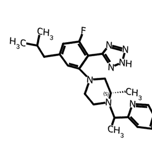 CC(C)Cc1cc(F)c(-c2nn[nH]n2)c(N2CCN(C(C)c3ccccn3)[C@@H](C)C2)c1